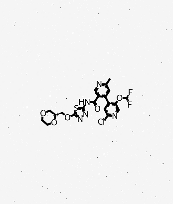 Cc1cc(-c2cc(Cl)ncc2OC(F)F)c(C(=O)Nc2nnc(OC[C@@H]3COCCO3)s2)cn1